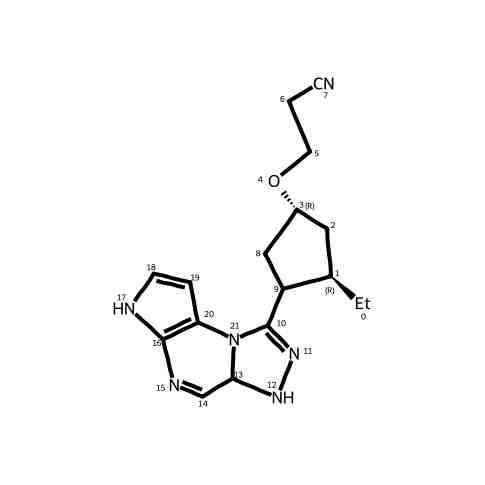 CC[C@@H]1C[C@@H](OCCC#N)CC1C1=NNC2C=Nc3[nH]ccc3N12